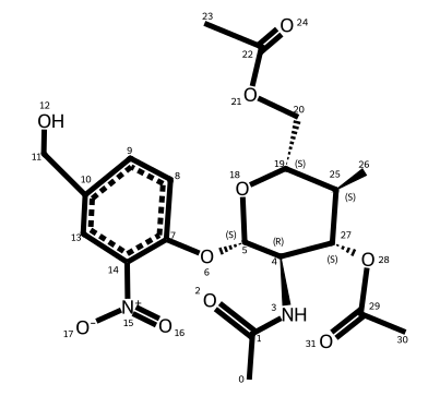 CC(=O)N[C@H]1[C@H](Oc2ccc(CO)cc2[N+](=O)[O-])O[C@H](COC(C)=O)[C@@H](C)[C@@H]1OC(C)=O